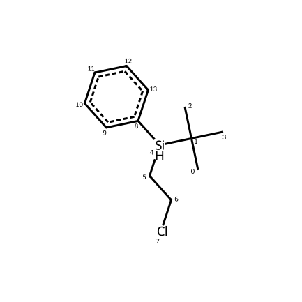 CC(C)(C)[SiH](CCCl)c1ccccc1